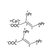 CCC/C=C(\CCC)C(=O)[O-].CCC/C=C(\CCC)C(=O)[O-].[Ca+2]